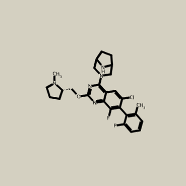 Cc1cccc(F)c1-c1c(Cl)cc2c(N3CC4CCC(C3)N4)nc(OC[C@@H]3CCCN3C)nc2c1F